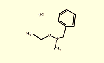 CCON(C)Cc1ccccc1.Cl